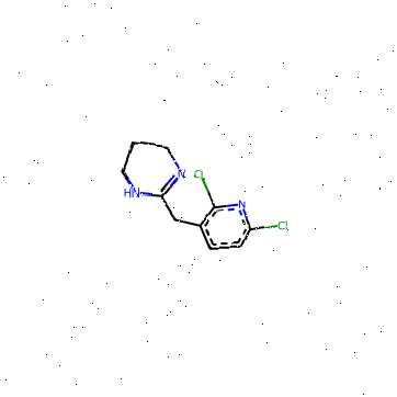 Clc1ccc(CC2=NCCCN2)c(Cl)n1